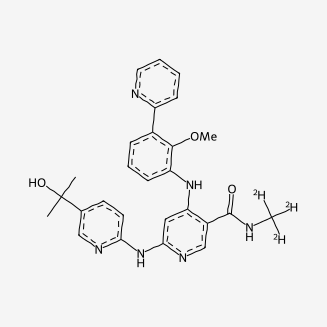 [2H]C([2H])([2H])NC(=O)c1cnc(Nc2ccc(C(C)(C)O)cn2)cc1Nc1cccc(-c2ccccn2)c1OC